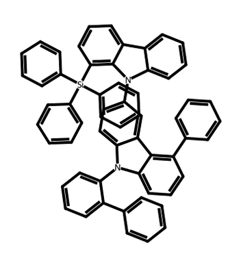 c1ccc(-c2ccccc2-n2c3ccc(-n4c5ccccc5c5cccc([Si](c6ccccc6)(c6ccccc6)c6ccccc6)c54)cc3c3c(-c4ccccc4)cccc32)cc1